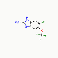 Nc1nc2cc(OC(F)(F)F)c(F)cc2[nH]1